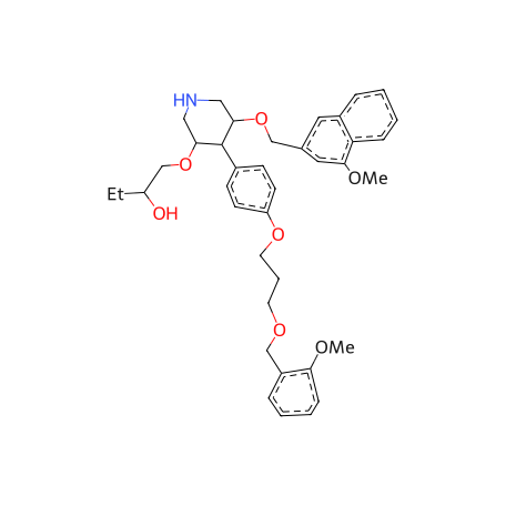 CCC(O)COC1CNCC(OCc2cc(OC)c3ccccc3c2)C1c1ccc(OCCCOCc2ccccc2OC)cc1